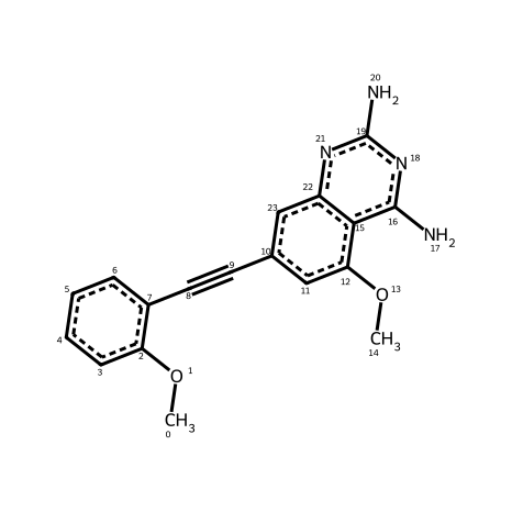 COc1ccccc1C#Cc1cc(OC)c2c(N)nc(N)nc2c1